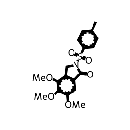 COc1cc2c(c(OC)c1OC)CN(S(=O)(=O)c1ccc(C)cc1)C2=O